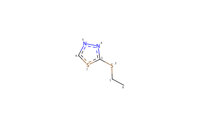 CCSc1nn[c]s1